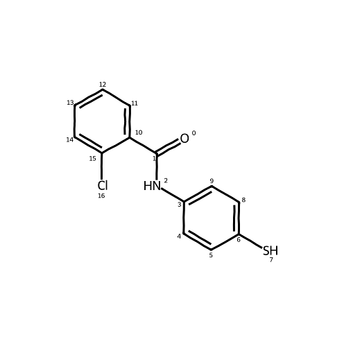 O=C(Nc1ccc(S)cc1)c1ccccc1Cl